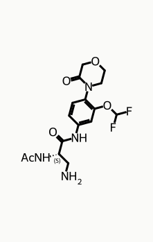 CC(=O)N[C@@H](CN)C(=O)Nc1ccc(N2CCOCC2=O)c(OC(F)F)c1